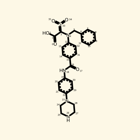 O=C(O)C(N(Cc1ccccc1)c1ccc(C(=O)Nc2ccc(N3CCNCC3)cc2)cc1)=S(=O)=O